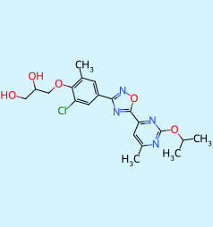 Cc1cc(-c2nc(-c3cc(C)c(OCC(O)CO)c(Cl)c3)no2)nc(OC(C)C)n1